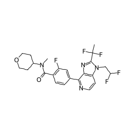 CN(C(=O)c1ccc(-c2nccc3c2nc(C(C)(F)F)n3CC(F)F)cc1F)C1CCOCC1